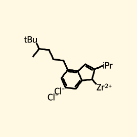 CC(C)C1=Cc2c(CCCC(C)C(C)(C)C)cccc2[CH]1[Zr+2].[Cl-].[Cl-]